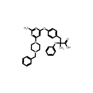 Cc1nc(Oc2ccc(CC(C)(Oc3ccccc3)C(=O)O)cc2)cc(N2CCN(Cc3ccccc3)CC2)n1